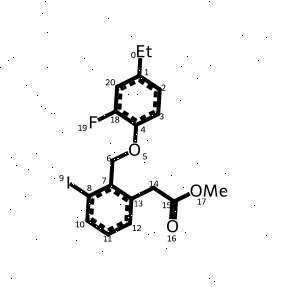 CCc1ccc(OCc2c(I)cccc2CC(=O)OC)c(F)c1